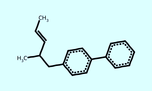 CC=CC(C)Cc1ccc(-c2ccccc2)cc1